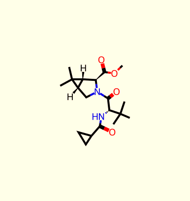 COC(=O)[C@@H]1[C@@H]2[C@H](CN1C(=O)[C@@H](NC(=O)C1CC1)C(C)(C)C)C2(C)C